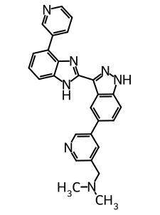 CN(C)Cc1cncc(-c2ccc3[nH]nc(-c4nc5c(-c6cccnc6)cccc5[nH]4)c3c2)c1